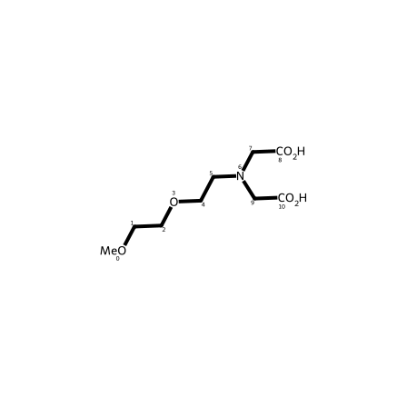 COCCOCCN(CC(=O)O)CC(=O)O